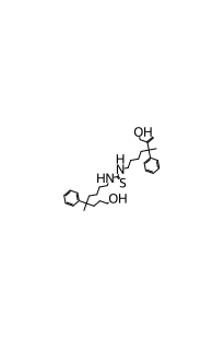 C=C(CO)C(C)(CCCCNC(=S)NCCCCC(C)(CCCO)c1ccccc1)c1ccccc1